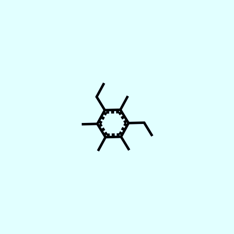 CCc1c(C)c(C)c(C)c(CC)c1C